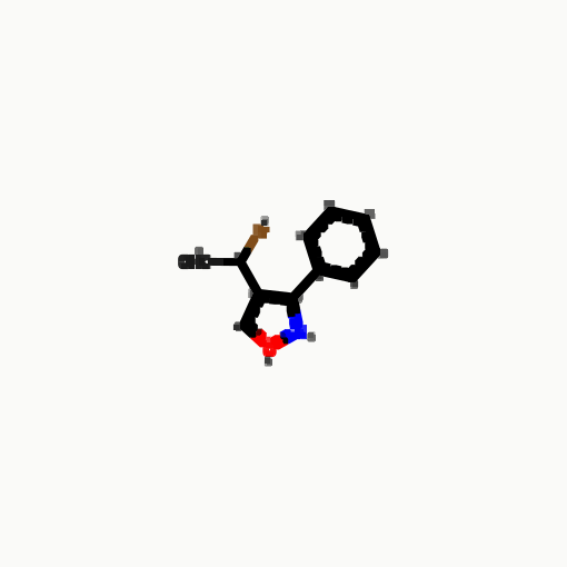 O=CC(Br)c1conc1-c1ccccc1